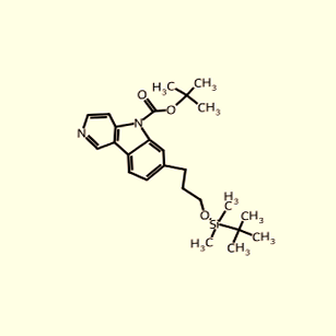 CC(C)(C)OC(=O)n1c2ccncc2c2ccc(CCCO[Si](C)(C)C(C)(C)C)cc21